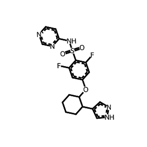 O=S(=O)(Nc1ccncn1)c1c(F)cc(OC2CCCCC2c2cn[nH]c2)cc1F